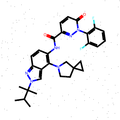 CC(C)C(C)(C)n1cc2c(N3CCC4(CC4)C3)c(NC(=O)c3ccc(=O)n(-c4c(F)cccc4F)n3)ccc2n1